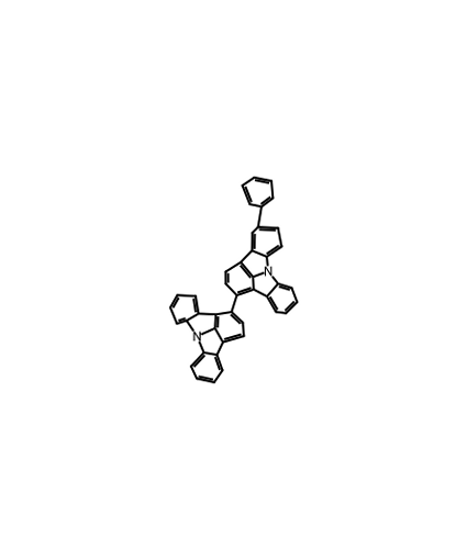 c1ccc(-c2ccc3c(c2)c2ccc(-c4ccc5c6ccccc6n6c7ccccc7c4c56)c4c5ccccc5n3c24)cc1